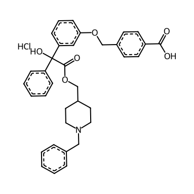 Cl.O=C(O)c1ccc(COc2cccc(C(O)(C(=O)OCC3CCN(Cc4ccccc4)CC3)c3ccccc3)c2)cc1